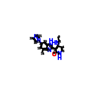 CCNc1cc[nH]c(=O)c1-c1nc2c(C)cc(-n3ccnc3)cc2[nH]1